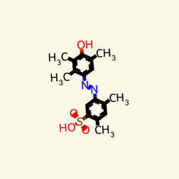 Cc1cc(C)c(S(=O)(=O)O)cc1N=Nc1cc(C)c(O)c(C)c1C